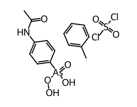 CC(=O)Nc1ccc([As](=O)(O)OO)cc1.Cc1ccccc1.O=S(=O)(Cl)Cl